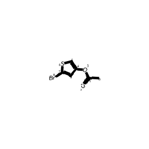 CC(=O)Oc1csc(Br)c1